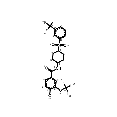 O=C(NC1CCC(S(=O)(=O)c2cccc(C(F)(F)F)c2)CC1)c1ccc(Cl)c(OC(F)(F)F)c1